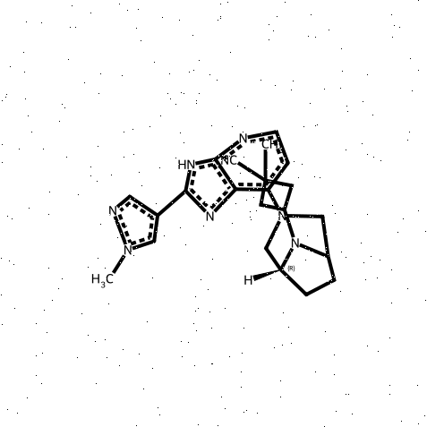 Cn1cc(-c2nc3c(N4CC5CC[C@H](C4)N5C4CC(C)(C#N)C4)ccnc3[nH]2)cn1